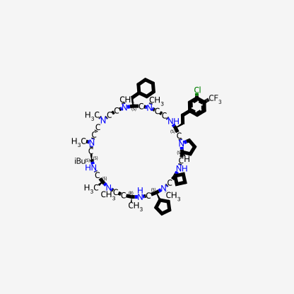 CC[C@H](C)[C@H]1CN(C)CCN(C)CCN(C)[C@@H](CC2CCCCC2)CN(C)CCN[C@@H](CCc2ccc(C(F)(F)F)c(Cl)c2)CN2CCC[C@H]2CNC2(CCC2)CN(C)[C@@H](C2CCCC2)CN[C@H](C)CCN(C)[C@@H](C)CN1